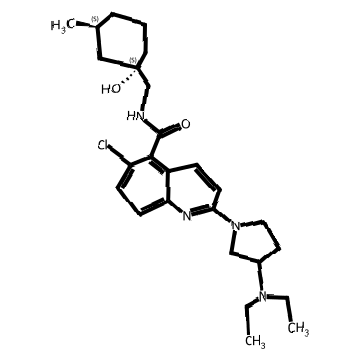 CCN(CC)C1CCN(c2ccc3c(C(=O)NC[C@]4(O)CCC[C@H](C)C4)c(Cl)ccc3n2)C1